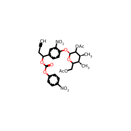 C#CCC(OC(=O)Oc1ccc([N+](=O)[O-])cc1)c1ccc(O[C@@H]2OC(COC(C)=O)[C@H](C)[C@H](C)C2OC(C)=O)c([N+](=O)[O-])c1